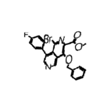 COC(=O)c1nc(Br)c2c(-c3ccc(F)cc3)cncc2c1OCc1ccccc1